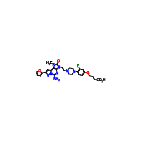 Cn1c(=O)n(CCN2CCN(c3ccc(OCCCC(=O)O)cc3F)CC2)c2nc(N)n3nc(-c4ccco4)cc3c21